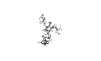 CC(C)OC(=O)OCn1c(=O)c(F)cn([C@H]2C[C@@H]3OP(=O)(O)OC[C@H]3O2)c1=O.CCN(CC)CC